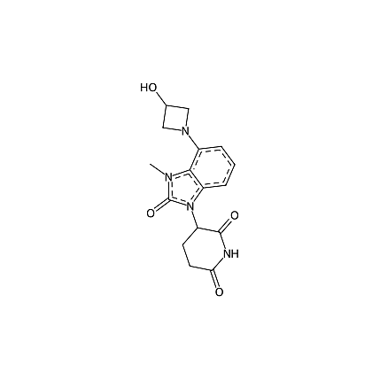 Cn1c(=O)n(C2CCC(=O)NC2=O)c2cccc(N3CC(O)C3)c21